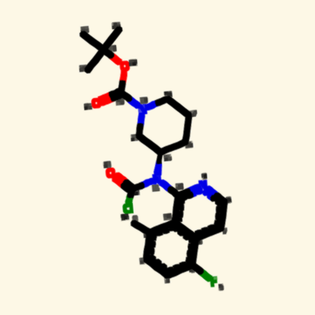 Cc1ccc(F)c2ccnc(N(C(=O)Cl)[C@@H]3CCCN(C(=O)OC(C)(C)C)C3)c12